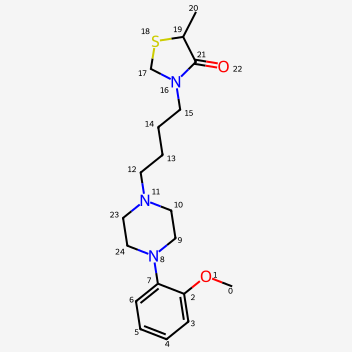 COc1ccccc1N1CCN(CCCCN2CSC(C)C2=O)CC1